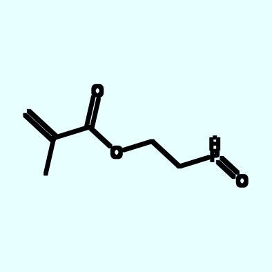 C=C(C)C(=O)OCC[PH]=O